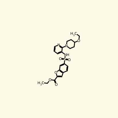 CCOC(=O)c1cc2ccc(S(=O)(=O)Nc3cccnc3N3CCC(OCC)CC3)cc2o1